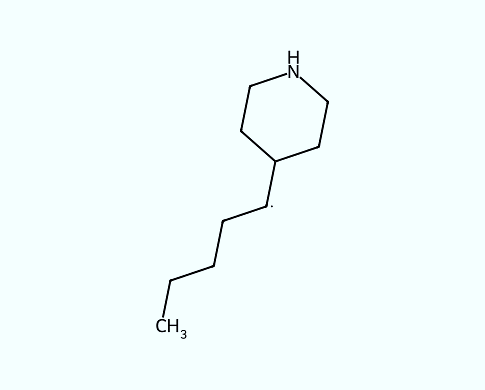 CCCC[CH]C1CCNCC1